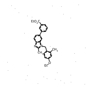 CCOC(=O)c1cccc(-c2ccc3nc(C)n(Cc4ccc(OCC)cc4C)c3c2)c1